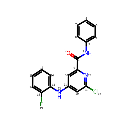 O=C(Nc1ccccc1)c1cc(Nc2ccccc2F)cc(Cl)n1